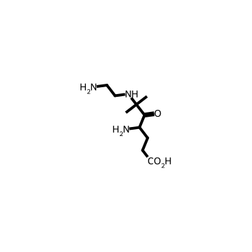 CC(C)(NCCN)C(=O)C(N)CCC(=O)O